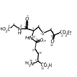 CCOC(=O)CNC(=O)C(CSCC(=O)C(=O)OCC)NC(=O)CCC(N)C(=O)O